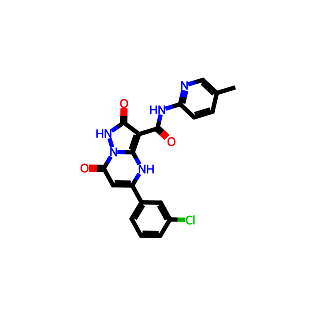 Cc1ccc(NC(=O)c2c(=O)[nH]n3c(=O)cc(-c4cccc(Cl)c4)[nH]c23)nc1